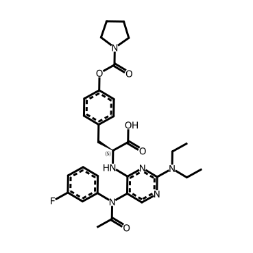 CCN(CC)c1ncc(N(C(C)=O)c2cccc(F)c2)c(N[C@@H](Cc2ccc(OC(=O)N3CCCC3)cc2)C(=O)O)n1